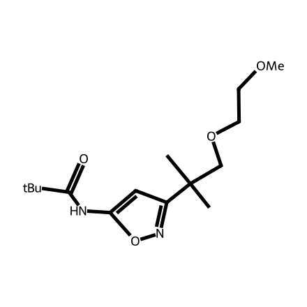 COCCOCC(C)(C)c1cc(NC(=O)C(C)(C)C)on1